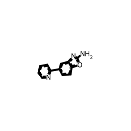 Nc1nc2cc(-c3ccccn3)ccc2o1